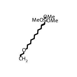 C=CCOCCCCCCCCCC=C[Si](OC)(OC)OC